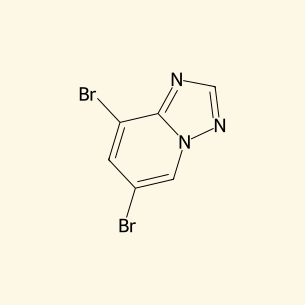 Brc1cc(Br)c2ncnn2c1